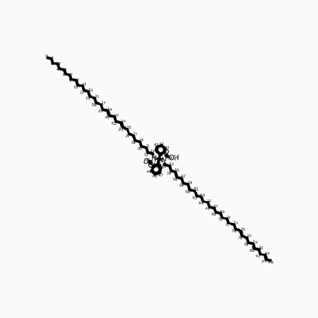 CCCCCCCCCCCCCCCCCCCCCCCCCCCCCCCCCCN(C(=O)O)C(c1ccccc1)(c1ccccc1)N(CCCCCCCCCCCCCCCCCCCCCCCCCCCCCCCCCC)C(=O)O